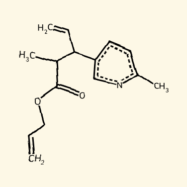 C=CCOC(=O)C(C)C(C=C)c1ccc(C)nc1